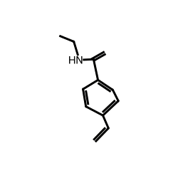 C=Cc1ccc(C(=C)NCC)cc1